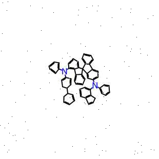 C1=CCC(C2C=CC(N(c3ccccc3)c3cccc4c3-c3ccccc3C43c4ccccc4-c4ccc(N(c5ccccc5)c5cccc6c5CC=C6)cc43)=CC2)C=C1